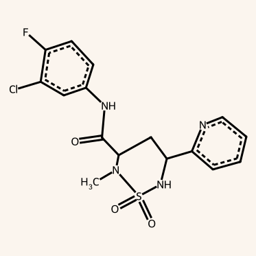 CN1C(C(=O)Nc2ccc(F)c(Cl)c2)CC(c2ccccn2)NS1(=O)=O